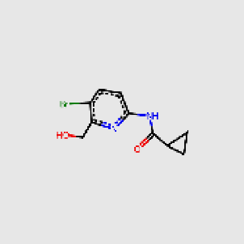 O=C(Nc1ccc(Br)c(CO)n1)C1CC1